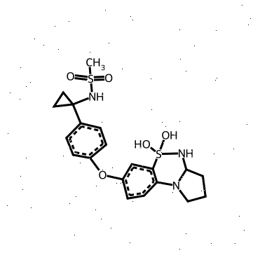 CS(=O)(=O)NC1(c2ccc(Oc3ccc4c(c3)S(O)(O)NC3CCCN43)cc2)CC1